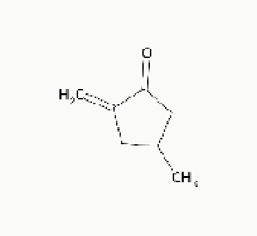 C=C1CC(C)CC1=O